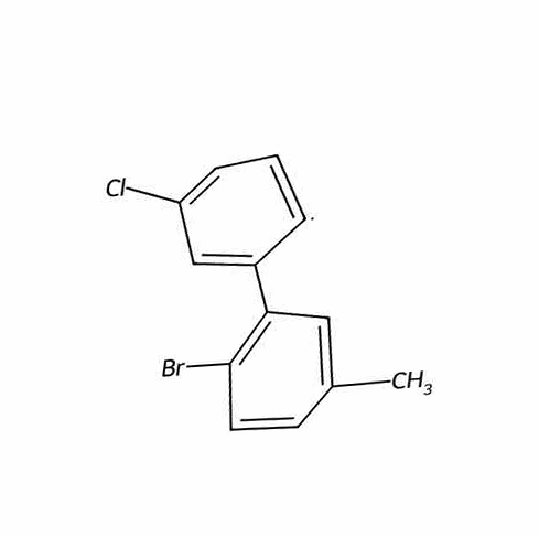 Cc1ccc(Br)c(-c2[c]ccc(Cl)c2)c1